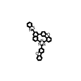 c1ccc(-c2nc(-c3ccc4c(c3)oc3ccccc34)nc(-c3cccc4oc5ccc(-c6cccc(-c7nc8ccccc8s7)c6)cc5c34)n2)cc1